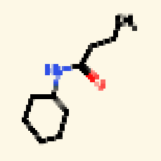 CCCC(=O)NC1CC[CH]CC1